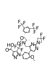 COc1ccc(-n2ncc(C(=O)O)c2C(F)(F)F)cc1-c1cnc(N2CC(F)(F)C2)nc1CN1C(=O)O[C@H](c2cc(C(F)(F)F)cc(C(F)(F)F)c2)[C@@H]1C